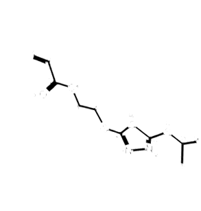 C=CC(=O)SCCSc1nnc(SC(C)C)s1